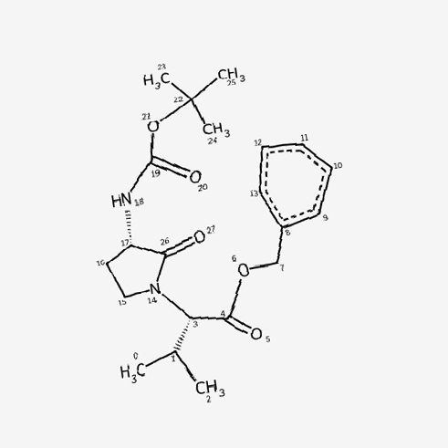 CC(C)[C@@H](C(=O)OCc1ccccc1)N1CC[C@H](NC(=O)OC(C)(C)C)C1=O